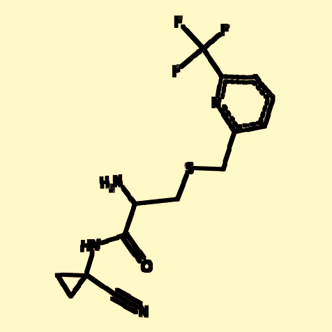 N#CC1(NC(=O)C(N)CSCc2cccc(C(F)(F)F)n2)CC1